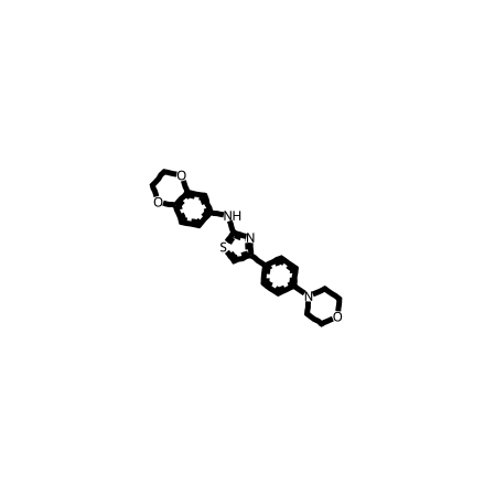 c1cc2c(cc1Nc1nc(-c3ccc(N4CCOCC4)cc3)cs1)OCCO2